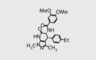 CCc1ccc([C@H]2c3c(C)nn(C)c3NC(=O)[C@@H]2NC(=O)c2ccc(OC)c(OC)c2)cc1